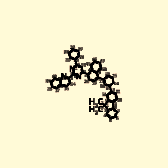 CC1(C)c2ccccc2-c2ccc(-c3cccc(-c4ccc(-c5cc(-c6ccccc6)nc(-c6ccc7ccccc7n6)n5)c5ccccc45)c3)cc21